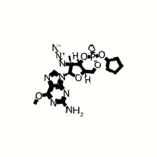 COc1nc(N)nc2c1ncn2[C@@H]1O[C@@H]2COP(=O)(OC3CCCC3)O[C@H]2[C@@]1(C)N=[N+]=[N-]